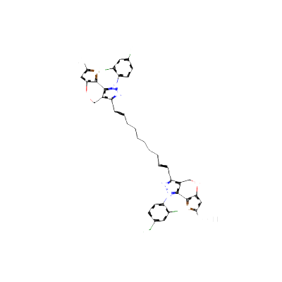 O=S(=O)(O)c1cc2c(s1)-c1c(c(/C=C/CCCCCC/C=C/c3nn(-c4ccc(Cl)cc4Cl)c4c3COc3cc(S(=O)(=O)O)sc3-4)nn1-c1ccc(Cl)cc1Cl)CO2